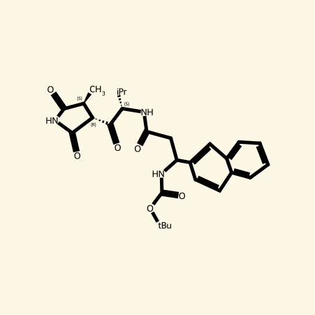 CC(C)[C@H](NC(=O)CC(NC(=O)OC(C)(C)C)c1ccc2ccccc2c1)C(=O)[C@@H]1C(=O)NC(=O)[C@H]1C